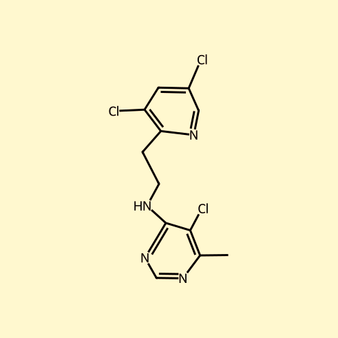 Cc1ncnc(NCCc2ncc(Cl)cc2Cl)c1Cl